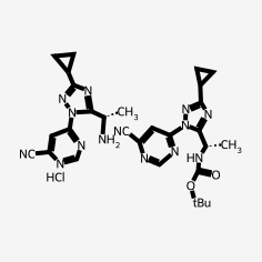 C[C@H](N)c1nc(C2CC2)nn1-c1cc(C#N)ncn1.C[C@H](NC(=O)OC(C)(C)C)c1nc(C2CC2)nn1-c1cc(C#N)ncn1.Cl